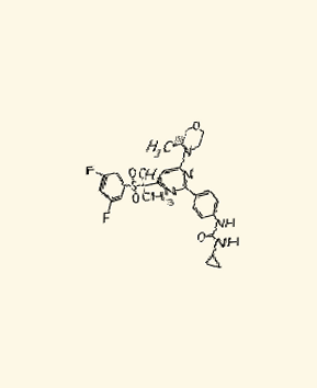 C[C@H]1COCCN1c1cc(C(C)(C)S(=O)(=O)c2cc(F)cc(F)c2)nc(-c2ccc(NC(=O)NC3CC3)cc2)n1